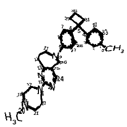 Cc1ccc(C2(c3ccc(N4CCc5nc(N6CCN(C)CC6)ncc5C4)cc3)CCC2)cc1